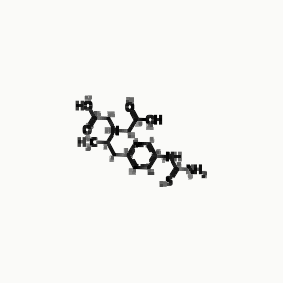 CC(Cc1ccc(NC(N)=S)cc1)N(CC(=O)O)CC(=O)O